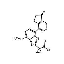 COc1ccc(-c2cccc3c2CCC3=O)n2nc(C3(C(=O)O)CC3)nc12